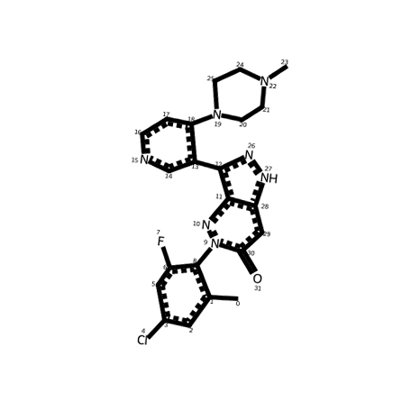 Cc1cc(Cl)cc(F)c1-n1nc2c(-c3cnccc3N3CCN(C)CC3)n[nH]c2cc1=O